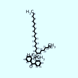 CCCCCCCCCCCCCCCCCC(CCCCCC)[N+](C)(C)Oc1ccccc1C(=O)c1ccccc1.[Br-]